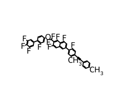 Cc1ccc(C#Cc2cc(F)c(-c3cc(F)c4c(F)c(C(F)(F)Oc5ccc(-c6cc(F)c(F)c(F)c6)c(F)c5)c(F)cc4c3)cc2C)cc1